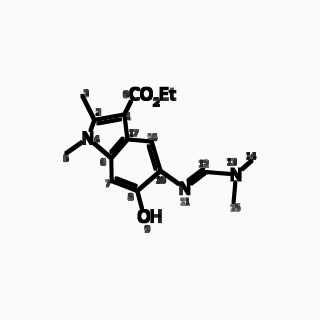 CCOC(=O)c1c(C)n(C)c2cc(O)c(N=CN(C)C)cc12